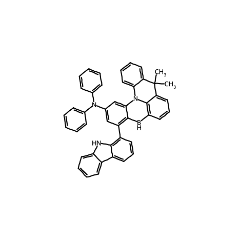 CC1(C)c2ccccc2N2c3cc(N(c4ccccc4)c4ccccc4)cc(-c4cccc5c4[nH]c4ccccc45)c3Bc3cccc1c32